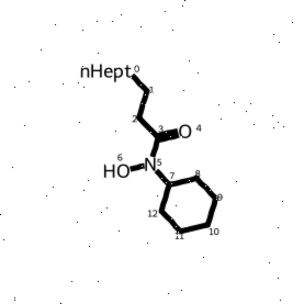 CCCCCCCCCC(=O)N(O)C1CCCCC1